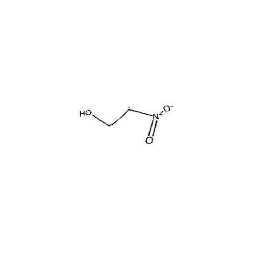 O=[N+]([O-])[CH]CO